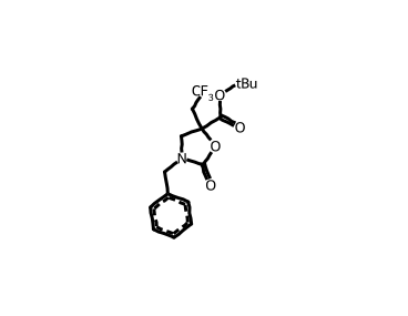 CC(C)(C)OC(=O)C1(CC(F)(F)F)CN(Cc2ccccc2)C(=O)O1